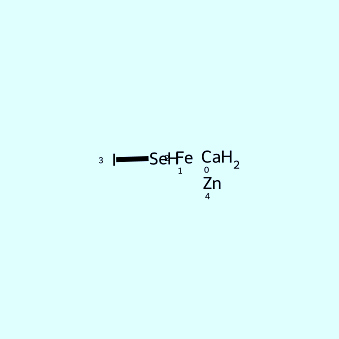 [CaH2].[Fe].[SeH]I.[Zn]